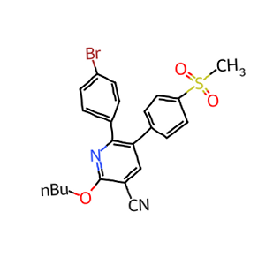 CCCCOc1nc(-c2ccc(Br)cc2)c(-c2ccc(S(C)(=O)=O)cc2)cc1C#N